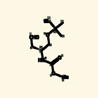 CC(C)(C)OC(=O)N[C@H](CC=O)CO[Si](C)(C)C(C)(C)C